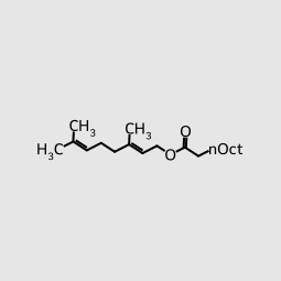 CCCCCCCCCC(=O)OC/C=C(\C)CCC=C(C)C